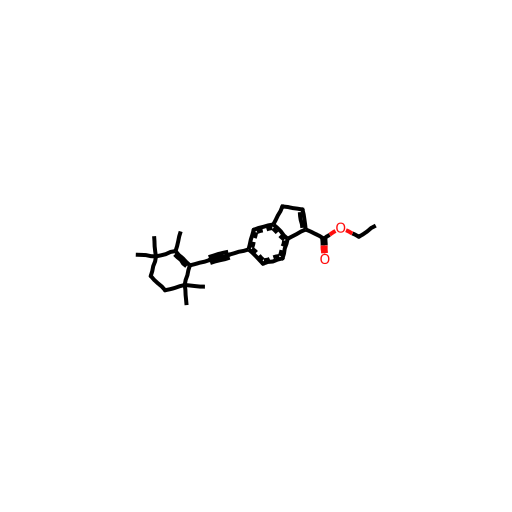 CCOC(=O)C1=CCc2cc(C#CC3=C(C)C(C)(C)CCC3(C)C)ccc21